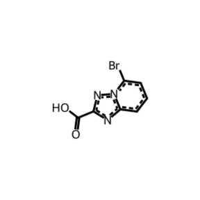 O=C(O)c1nc2cccc(Br)n2n1